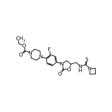 CCOC(=O)N1CCN(c2ccc(N3CC(CNC(=S)N4CCC4)OC3=O)cc2F)CC1